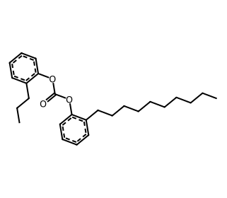 CCCCCCCCCCc1ccccc1OC(=O)Oc1ccccc1CCC